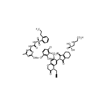 C#CCN1C(=O)COc2cc(F)c(N3C(=O)C4=C(CCCC4)C3=O)cc21.COc1c(Cl)ccc(Cl)c1C(=O)O.COc1nc(C)nc(NC(=O)NS(=O)(=O)c2ccccc2CCC(F)(F)F)n1.O=C(O)CNCP(=O)(O)O